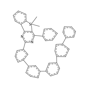 C[Si]1(C)c2ccccc2-c2nc(-c3cccc(-c4cccc(-c5cccc(-c6ccc(-c7ccccc7)cc6)c5)c4)c3)nc(-c3ccccc3)c21